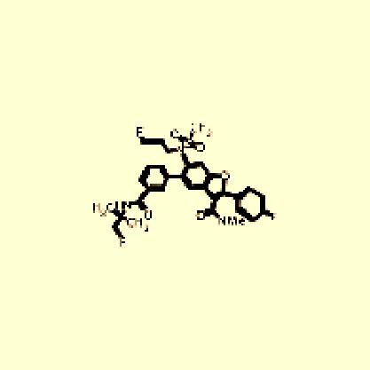 CNC(=O)c1c(-c2ccc(F)cc2)oc2cc(N(CCCF)S(C)(=O)=O)c(-c3cccc(C(=O)NC(C)(C)CF)c3)cc12